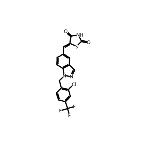 O=C1NC(=O)C(=Cc2ccc3c(cnn3Cc3ccc(C(F)(F)F)cc3Cl)c2)S1